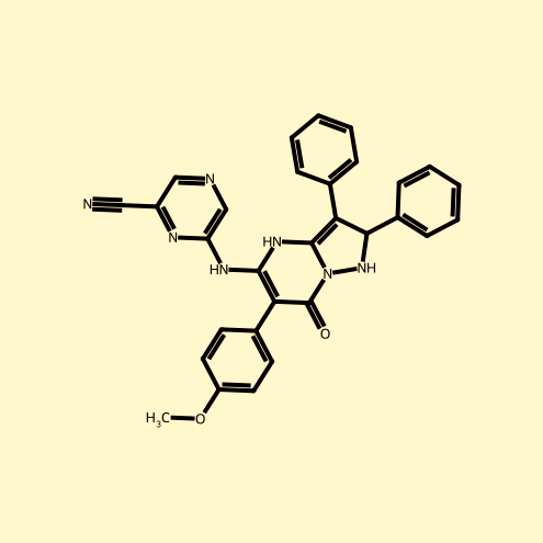 COc1ccc(C2=C(Nc3cncc(C#N)n3)NC3=C(c4ccccc4)C(c4ccccc4)NN3C2=O)cc1